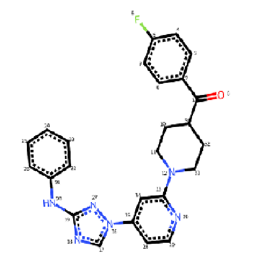 O=C(c1ccc(F)cc1)C1CCN(c2cc(-n3cnc(Nc4ccccc4)n3)ccn2)CC1